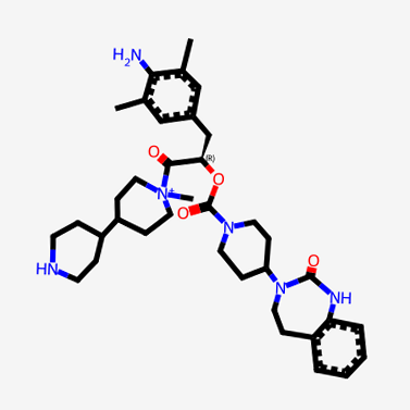 Cc1cc(C[C@@H](OC(=O)N2CCC(N3CCc4ccccc4NC3=O)CC2)C(=O)[N+]2(C)CCC(C3CCNCC3)CC2)cc(C)c1N